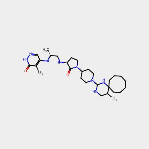 C[C@H](CN[C@H]1CCN(C2CCN(C3NCC(C(F)(F)F)C4(CCCCCCC4)N3)CC2)C1=O)Nc1cn[nH]c(=O)c1C(F)(F)F